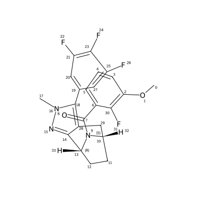 COc1cccc(C(=O)N2[C@H]3CC[C@@H]2c2nn(C)c(-c4cc(F)c(F)c(F)c4)c2C3)c1F